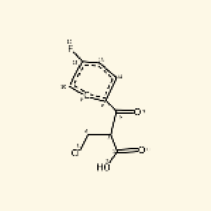 O=C(O)C(CCl)C(=O)c1ccc(F)cc1